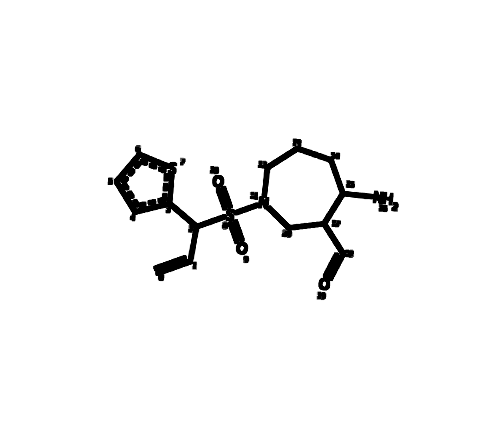 C=CC(c1cccs1)S(=O)(=O)N1CCCC(N)C(C=O)C1